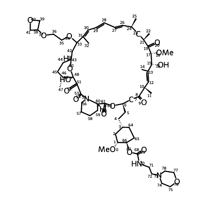 CO[C@@H]1C[C@H](CC[C@@H]2CC(=O)[C@H](C)/C=C(\C)[C@@H](O)[C@@H](OC)C(=O)[C@H](C)C[C@H](C)/C=C/C=C/C=C(\C)C(OCCOC3COC3)C[C@@H]3CC[C@@H](C)[C@@](O)(O3)C(=O)C(=O)N3CCCC[C@H]3C(=O)O2)CC[C@H]1OC(=O)NCCN1CCOCC1